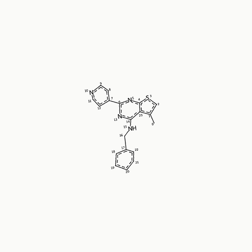 Cc1csc2nc(-c3ccncc3)nc(NCc3ccccc3)c12